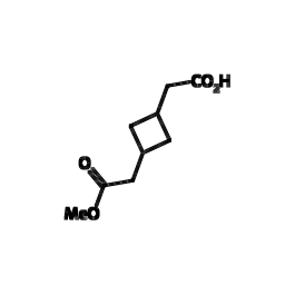 COC(=O)CC1CC(CC(=O)O)C1